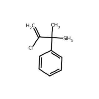 C=C(Cl)C(C)([SiH3])c1ccccc1